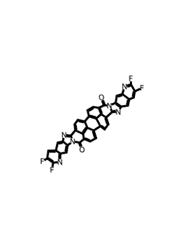 O=c1c2ccc3c4ccc5c6c(ccc(c7ccc(c2c37)c2nc3cc7cc(F)c(F)nc7cc3n12)c46)c(=O)n1c2cc3nc(F)c(F)cc3cc2nc51